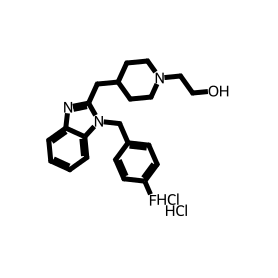 Cl.Cl.OCCN1CCC(Cc2nc3ccccc3n2Cc2ccc(F)cc2)CC1